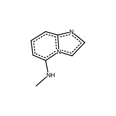 CNc1cccc2nccn12